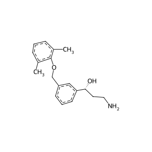 Cc1cccc(C)c1OCc1cccc([C@H](O)CCN)c1